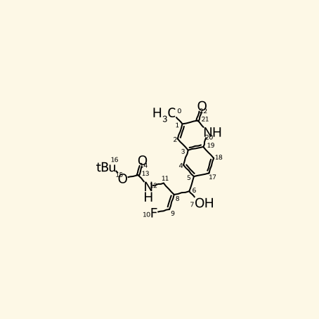 Cc1cc2cc(C(O)/C(=C/F)CNC(=O)OC(C)(C)C)ccc2[nH]c1=O